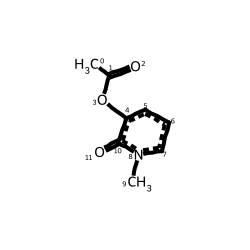 CC(=O)Oc1cccn(C)c1=O